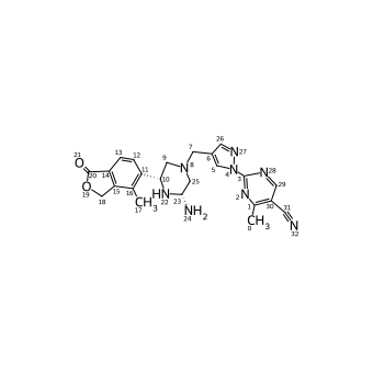 Cc1nc(-n2cc(CN3C[C@@H](c4ccc5c(c4C)COC5=O)N[C@@H](N)C3)cn2)ncc1C#N